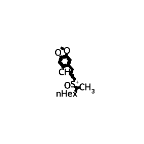 CCCCCCC(C)[S+]([O-])CCCc1cc2c(cc1C)OCO2